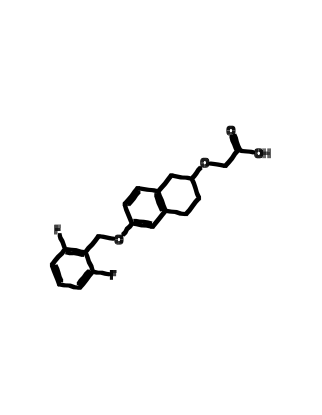 O=C(O)COC1CCc2cc(OCc3c(F)cccc3F)ccc2C1